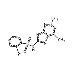 Cc1nc(C)n2nc(NS(=O)(=O)c3ccccc3Cl)nc2n1